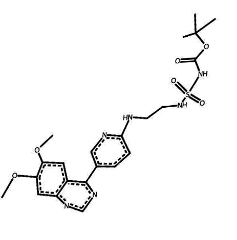 COc1cc2ncnc(-c3ccc(NCCNS(=O)(=O)NC(=O)OC(C)(C)C)nc3)c2cc1OC